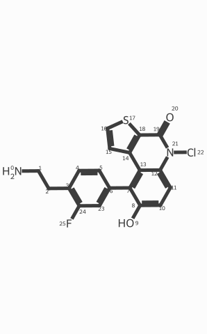 NCCc1ccc(-c2c(O)ccc3c2c2ccsc2c(=O)n3Cl)cc1F